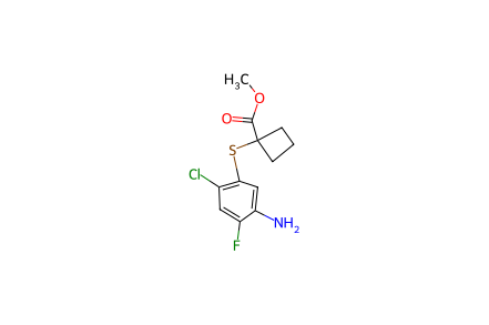 COC(=O)C1(Sc2cc(N)c(F)cc2Cl)CCC1